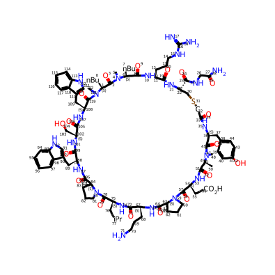 CCCC[C@H]1C(=O)N(C)[C@@H](CCCC)C(=O)N[C@@H](CCCNC(=N)N)C(=O)N[C@H](C(=O)NCC(N)=O)CSCC(=O)N[C@@H](Cc2ccc(O)cc2)C(=O)N(C)[C@@H](C)C(=O)N[C@@H](CC(=O)O)C(=O)N2CCC[C@H]2C(=O)N[C@@H](CCCN)C(=O)N[C@@H](CC(C)C)C(=O)N2CCC[C@H]2C(=O)N[C@@H](Cc2c[nH]c3ccccc23)C(=O)N[C@@H](CO)C(=O)N[C@@H](Cc2c[nH]c3ccccc23)C(=O)N1C